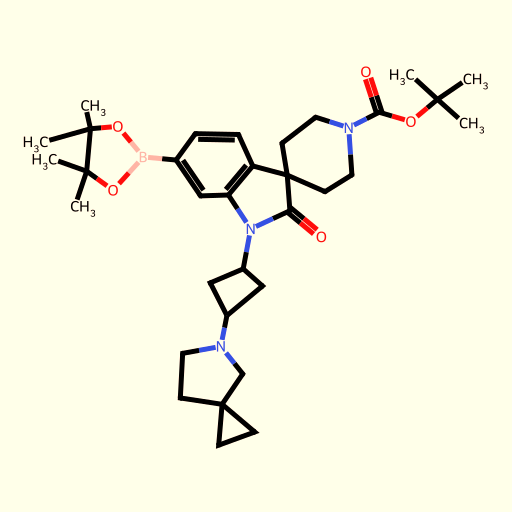 CC(C)(C)OC(=O)N1CCC2(CC1)C(=O)N(C1CC(N3CCC4(CC4)C3)C1)c1cc(B3OC(C)(C)C(C)(C)O3)ccc12